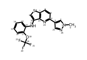 Cn1cc(-c2ccc3scc(Nc4ccccc4OC(F)(F)F)c3n2)cn1